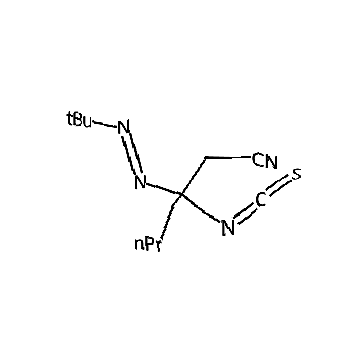 CCCC(CC#N)(N=C=S)/N=N/C(C)(C)C